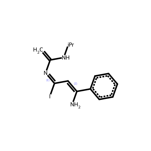 C=C(/N=C(I)\C=C(/N)c1ccccc1)NC(C)C